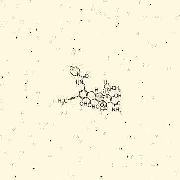 CC#Cc1cc(CNC(=O)N2CCOCC2)c2c(c1O)C(=O)C1=C(O)[C@]3(O)C(=O)C(C(N)=O)=C(O)[C@@H](N(C)C)[C@@H]3C[C@@H]1C2